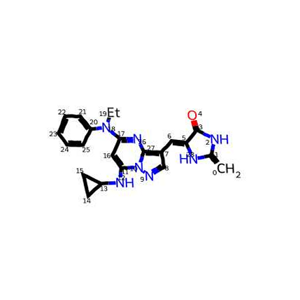 C=c1[nH]c(=O)/c(=C/c2cnn3c(NC4CC4)cc(N(CC)c4ccccc4)nc23)[nH]1